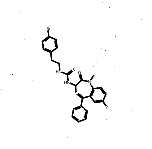 CN1C(=O)C(NC(=S)NCCc2ccc(Br)cc2)N=C(c2ccccc2)c2cc(Cl)ccc21